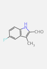 Cc1c(C=O)[nH]c2ccc(F)cc12